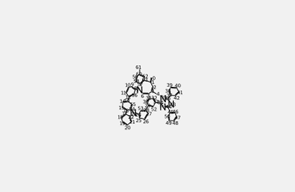 C=C1/C=C(C)\C=C/N(c2cccc(-c3ccc4c5ccccc5n(-c5cccc(-c6cccc(-c7nc(-c8ccccc8)nc(-c8ccccc8)n7)c6)c5)c4c3)c2)c2ccc(C)cc21